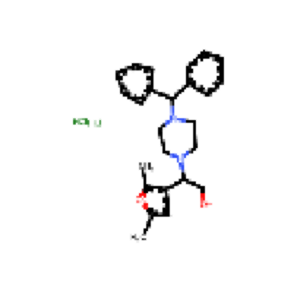 Cc1cc(C(CO)N2CCN(C(c3ccccc3)c3ccccc3)CC2)c(C)o1.Cl.Cl